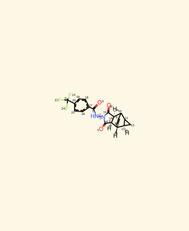 O=C(NN1C(=O)[C@@H]2[C@@H]3C=CC(C4C[C@H]43)[C@@H]2C1=O)c1ccc(C(F)(F)F)cc1